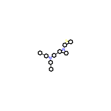 c1ccc(-c2ccc(N(c3ccc(-c4ccccc4)cc3)c3ccc(-c4ccc5c(c4)c4ccccc4n5-c4ccc5sc6ccccc6c5c4)cc3)cc2)cc1